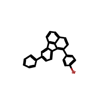 Brc1ccc(-c2ccc3cccc4c3c2-c2ccc(-c3ccccc3)cc2-4)cc1